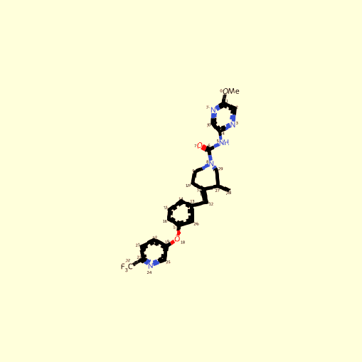 COc1cnc(NC(=O)N2CCC(=Cc3cccc(Oc4ccc(C(F)(F)F)nc4)c3)C(C)C2)cn1